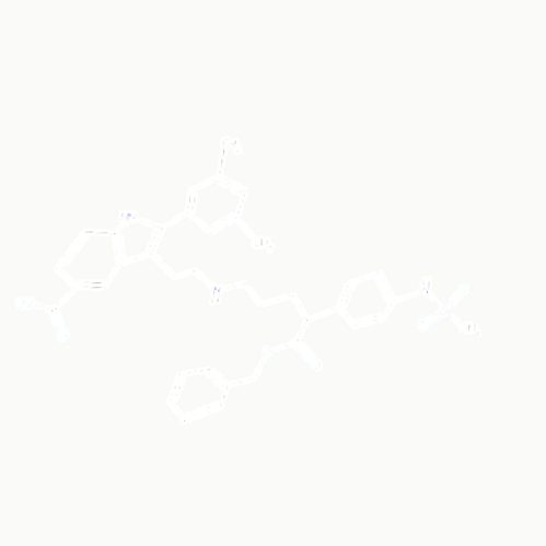 Cc1cc(C)cc(-c2[nH]c3ccc(C(=O)O)cc3c2CCNCCCC(C(=O)OCc2ccccc2)c2ccc(NS(C)(=O)=O)cc2)c1